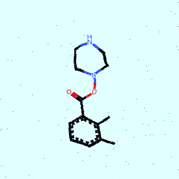 Cc1cccc(C(=O)ON2CCNCC2)c1C